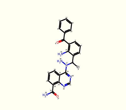 CCC(c1cccc(C(=O)c2ccccc2)c1N)N(N)c1ncnc2c(C(N)=O)cccc12